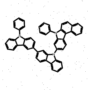 c1ccc(-n2c3ccccc3c3cc(-c4ccc5c6ccccc6n(-c6ccc7c8c9ccccc9ccc8n(-c8ccccc8)c7c6)c5c4)ccc32)cc1